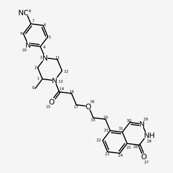 CC1CN(c2ccc(C#N)cn2)CCN1C(=O)CCOCCc1cccc2c(=O)[nH]ncc12